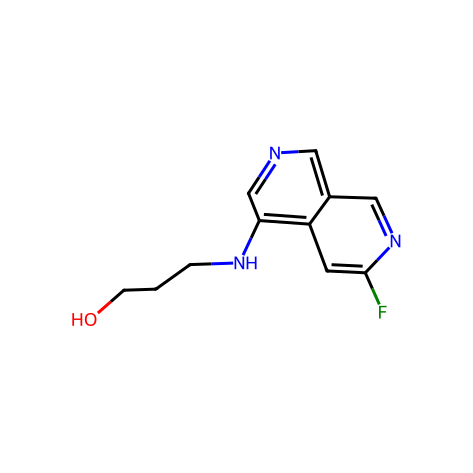 OCCCNc1cncc2cnc(F)cc12